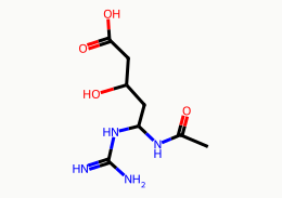 CC(=O)NC(CC(O)CC(=O)O)NC(=N)N